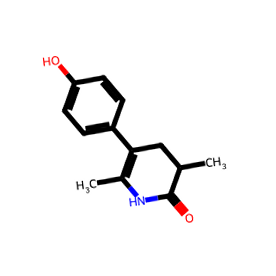 CC1=C(c2ccc(O)cc2)CC(C)C(=O)N1